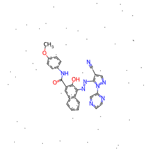 COc1ccc(NC(=O)c2cc3ccccc3c(/N=N/c3c(C#N)cnn3-c3cnccn3)c2O)cc1